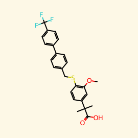 COc1cc(C(C)(C)C(=O)O)ccc1SCc1ccc(-c2ccc(C(F)(F)F)cc2)cc1